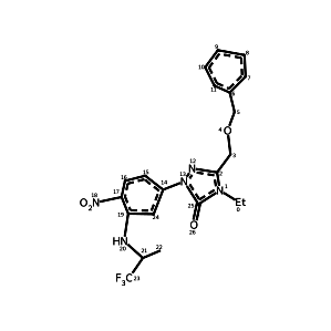 CCn1c(COCc2ccccc2)nn(-c2ccc([N+](=O)[O-])c(NC(C)C(F)(F)F)c2)c1=O